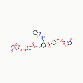 O=C(CN1C(=O)C=CC1=O)OCOc1ccc(C(=O)OCCc2ccc(OC(=O)c3ccc(OCOC(=O)CN4C(=O)C=CC4=O)cc3)c(/C=N/Nc3nc4ccccc4s3)c2)cc1